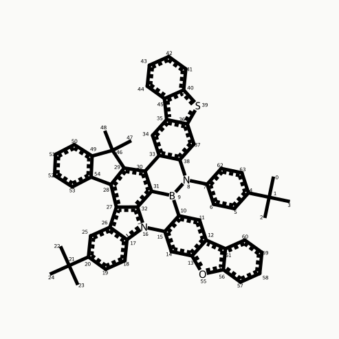 CC(C)(C)c1ccc(N2B3c4cc5c(cc4-n4c6ccc(C(C)(C)C)cc6c6c7c(c(c3c64)-c3cc4c(cc32)sc2ccccc24)C(C)(C)c2ccccc2-7)oc2ccccc25)cc1